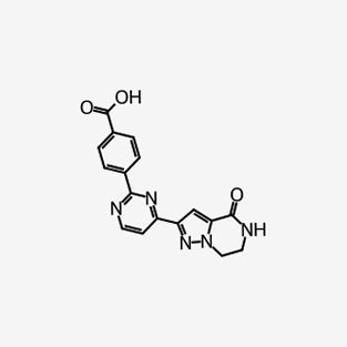 O=C(O)c1ccc(-c2nccc(-c3cc4n(n3)CCNC4=O)n2)cc1